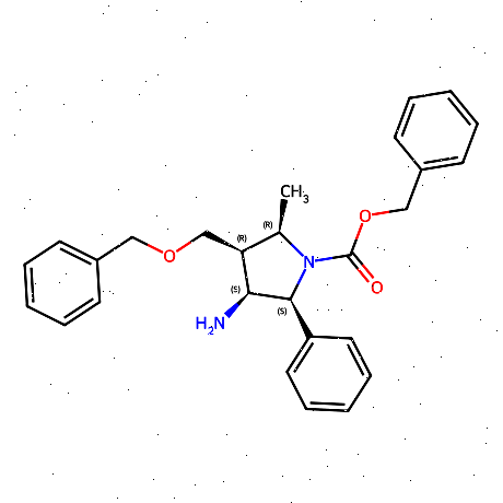 C[C@@H]1[C@H](COCc2ccccc2)[C@H](N)[C@H](c2ccccc2)N1C(=O)OCc1ccccc1